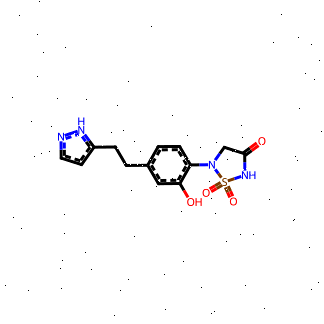 O=C1CN(c2ccc(CCc3ccn[nH]3)cc2O)S(=O)(=O)N1